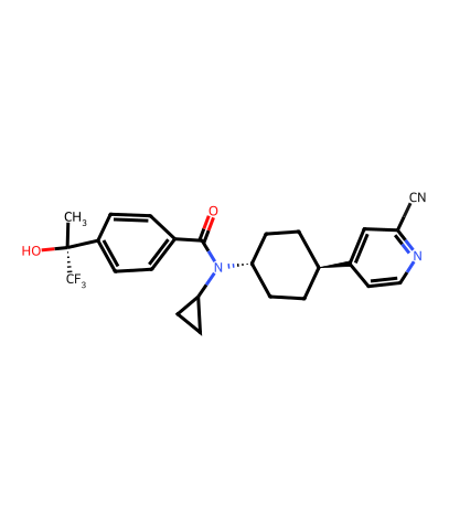 C[C@](O)(c1ccc(C(=O)N(C2CC2)[C@H]2CC[C@H](c3ccnc(C#N)c3)CC2)cc1)C(F)(F)F